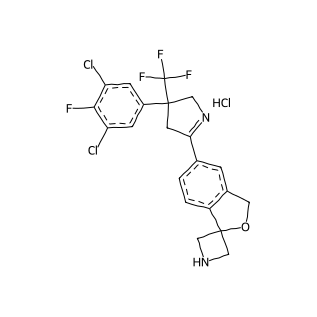 Cl.Fc1c(Cl)cc(C2(C(F)(F)F)CN=C(c3ccc4c(c3)COC43CNC3)C2)cc1Cl